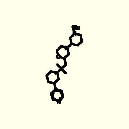 CC(C)(C)N1CCCC(N2CCOC(CC(C)(C)N3CCCC(c4ccncc4)C3)C2)C1